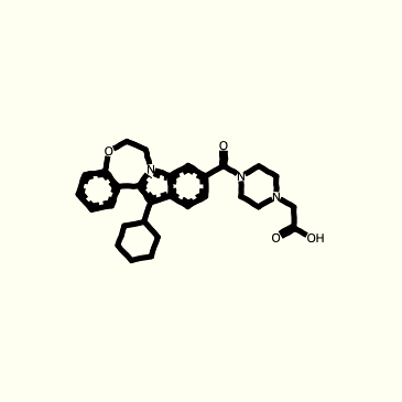 O=C(O)CN1CCN(C(=O)c2ccc3c(C4CCCCC4)c4n(c3c2)CCOc2ccccc2-4)CC1